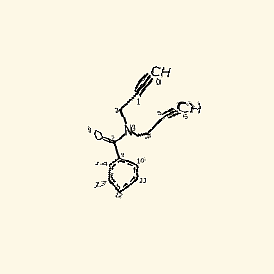 C#CCN(CC#C)C(=O)c1ccccc1